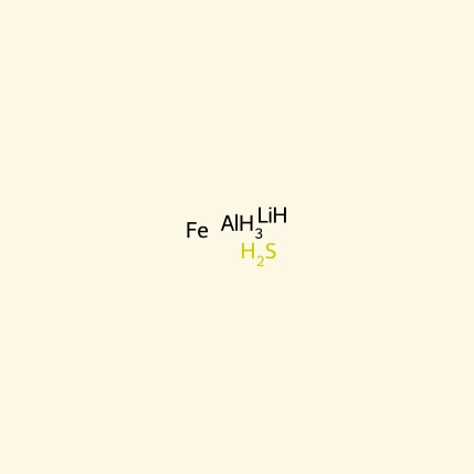 S.[AlH3].[Fe].[LiH]